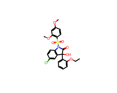 CCOc1ccccc1C1(O)C(=O)N(S(=O)(=O)c2ccc(OC)cc2OC)c2ccc(Cl)cc21